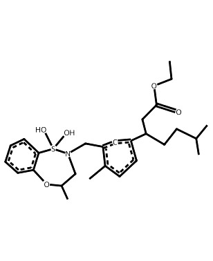 CCOC(=O)CC(CCC(C)C)c1ccc(C)c(CN2CC(C)Oc3ccccc3S2(O)O)c1